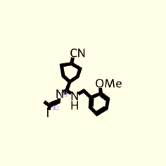 COc1ccccc1CN/C(=N\C=C(/C)I)C1CCC(C#N)CC1